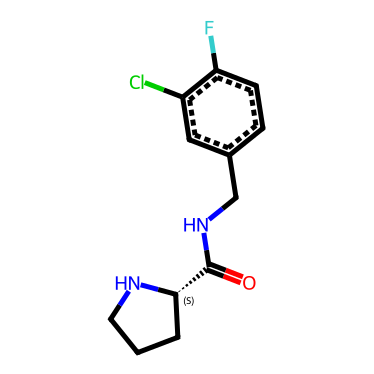 O=C(NCc1ccc(F)c(Cl)c1)[C@@H]1CCCN1